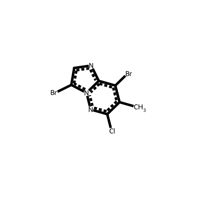 Cc1c(Cl)nn2c(Br)cnc2c1Br